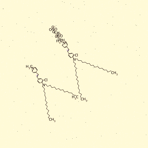 CCCCCCCCCCCCCCCCCCN(CCCCCCCCCCCCCCCCCC)c1ccc(/C=C/c2cc[n+](C)cc2)cc1Cl.CCCCCCCCCCCCCCCCN(CCCCCCCCCCCCCCCC)c1ccc(/C=C/c2cc[n+](C)cc2)cc1Cl.COS(=O)(=O)[O-].COS(=O)(=O)[O-]